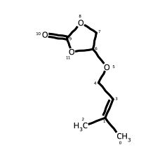 CC(C)=CCOC1COC(=O)O1